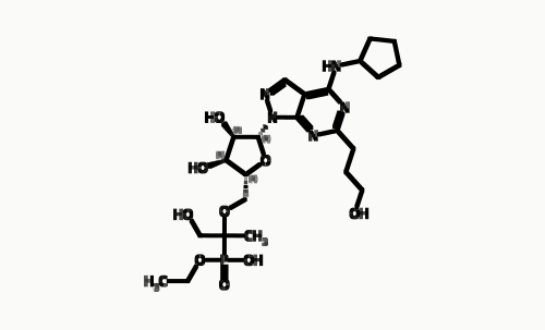 CCOP(=O)(O)C(C)(CO)OC[C@H]1O[C@@H](n2ncc3c(NC4CCCC4)nc(CCCO)nc32)[C@H](O)[C@@H]1O